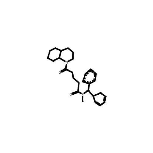 CN(C(=O)CCCC(=O)N1CCCC2CCCCC21)C(c1ccccc1)C1C=CC=CC1